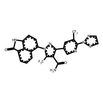 NC(=O)c1c(-c2cnc(-n3nccn3)c(C(F)(F)F)c2)nn(-c2ccc3c4c(cccc24)C(=O)N3)c1C(F)(F)F